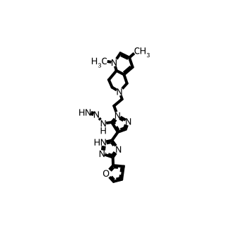 CC1=CN(C)C2CCN(CCn3ncc(-c4nc(-c5ccco5)n[nH]4)c3NN=N)CC2=C1